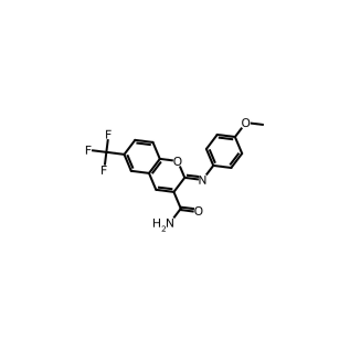 COc1ccc(/N=c2\oc3ccc(C(F)(F)F)cc3cc2C(N)=O)cc1